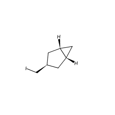 IC[C@H]1C[C@@H]2C[C@@H]2C1